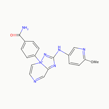 COc1ccc(NC2=N[N+]3(c4ccc(C(N)=O)cc4)C=CN=CC3=N2)cn1